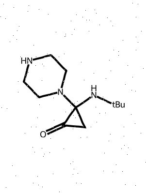 CC(C)(C)NC1(N2CCNCC2)CC1=O